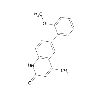 COc1ccccc1-c1ccc2[nH]c(=O)cc(C)c2c1